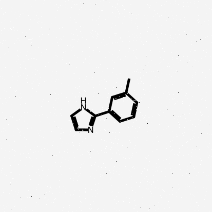 Cc1[c]ccc(-c2ncc[nH]2)c1